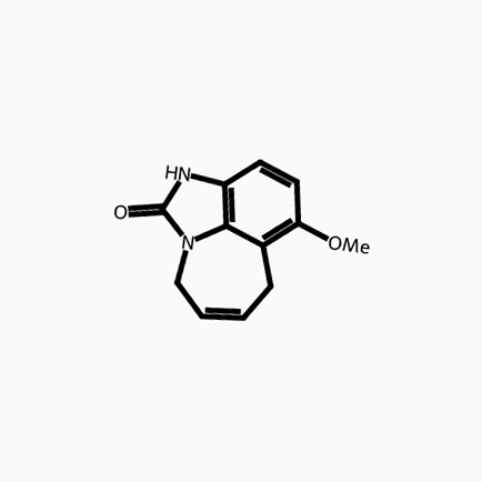 COc1ccc2[nH]c(=O)n3c2c1CC=CC3